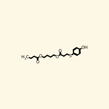 CCCC(=O)OCCCCOC(=O)CCSc1ccc(O)cc1